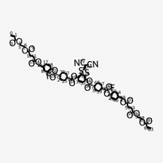 C=CC(=O)OCCOC(=O)CCC(=O)OCc1ccc(OC(=O)[C@H]2CC[C@H](C(=O)Oc3ccc(OC(=O)[C@H]4CC[C@H](C(=O)Oc5ccc(COC(=O)CCC(=O)OCCOC(=O)C=C)cc5F)CC4)c4c3SC(=C(C#N)C#N)S4)CC2)c(F)c1